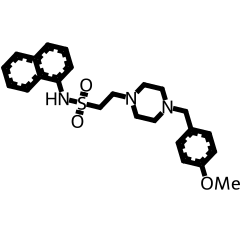 COc1ccc(CN2CCN(CCS(=O)(=O)Nc3cccc4ccccc34)CC2)cc1